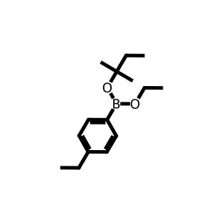 CCOB(OC(C)(C)CC)c1ccc(CC)cc1